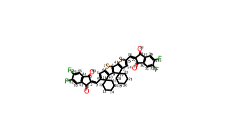 O=C1C(=CC2=Cc3sc4c(c3C23CCCCC3)C2(CCCCC2)c2cc(C=C3C(=O)c5cc(F)c(F)cc5C3=O)sc2-4)C(=O)c2cc(F)c(F)cc21